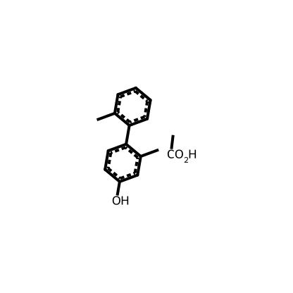 CC(=O)O.Cc1ccccc1-c1ccc(O)cc1C